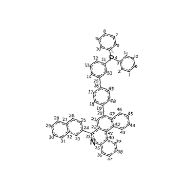 c1ccc(P(c2ccccc2)c2cccc(-c3ccc(-c4cc5c(-c6ccc7ccccc7c6)nc6ccccc6c5c5ccccc45)cc3)c2)cc1